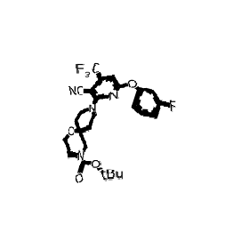 CC(C)(C)OC(=O)N1CCOC2(CCN(c3nc(Oc4cccc(F)c4)cc(C(F)(F)F)c3C#N)CC2)C1